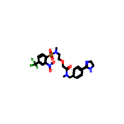 CN(Cc1ccc(C2=NCCN2)cc1)C(=O)COCCN(C)S(=O)(=O)c1ccc(C(F)(F)F)cc1[N+](=O)[O-]